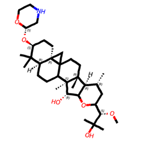 CO[C@@H](C1C[C@@H](C)[C@H]2C(O1)[C@H](O)[C@@]1(C)C3CC[C@H]4C(C)(C)[C@@H](O[C@H]5CNCCO5)CC[C@@]45CC35CC[C@]21C)C(C)(C)O